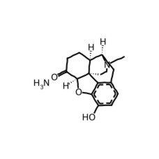 CN1CC[C@]23c4c5ccc(O)c4O[C@H]2C(=O)CC[C@H]3[C@H]1C5.N